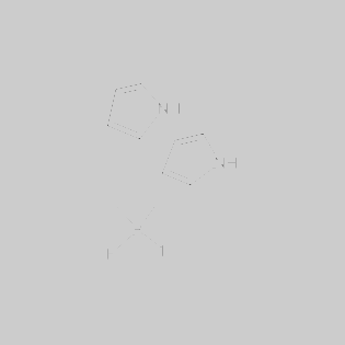 F[B-](F)(F)F.c1cc[nH]c1.c1cc[nH]c1